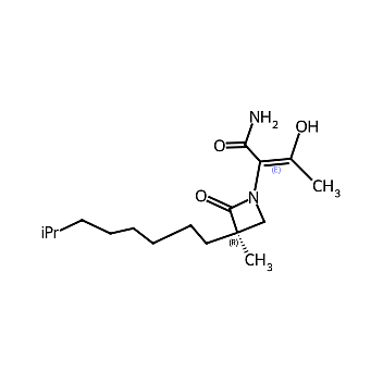 C/C(O)=C(/C(N)=O)N1C[C@@](C)(CCCCCCC(C)C)C1=O